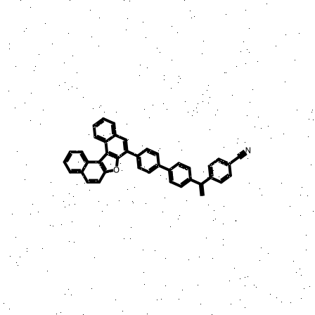 C=C(c1ccc(C#N)cc1)c1ccc(-c2ccc(-c3cc4ccccc4c4c3oc3ccc5ccccc5c34)cc2)cc1